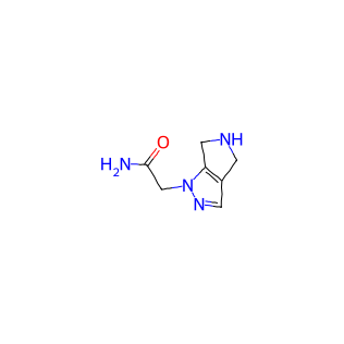 NC(=O)Cn1ncc2c1CNC2